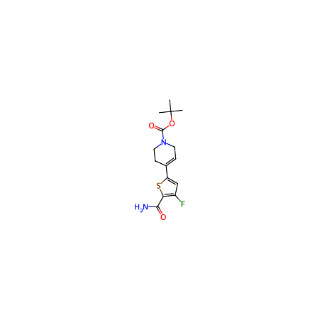 CC(C)(C)OC(=O)N1CC=C(c2cc(F)c(C(N)=O)s2)CC1